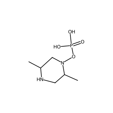 CC1CN(OP(=O)(O)O)C(C)CN1